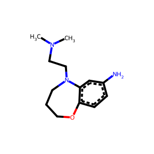 CN(C)CCN1CCCOc2ccc(N)cc21